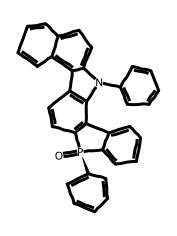 O=[P@@]1(c2ccccc2)c2ccccc2-c2c1ccc1c3c4ccccc4ccc3n(-c3ccccc3)c21